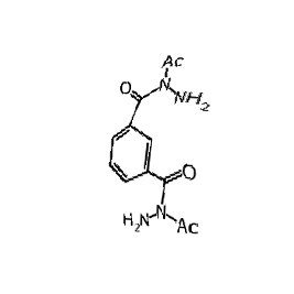 CC(=O)N(N)C(=O)c1cccc(C(=O)N(N)C(C)=O)c1